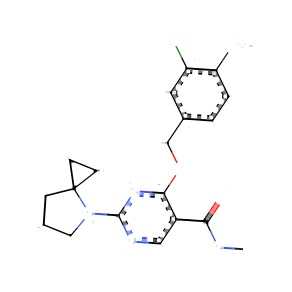 CCNC(=O)c1cnc(N2CCCC23CC3)nc1OCc1ccc(OC)c(Cl)c1